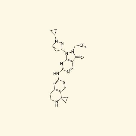 O=c1c2cnc(Nc3ccc4c(c3)CCNC43CC3)nc2n(-c2ccn(C3CC3)n2)n1CC(F)(F)F